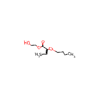 CCCCOC(=C[SiH3])C(=O)OCCO